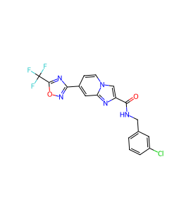 O=C(NCc1cccc(Cl)c1)c1cn2ccc(-c3noc(C(F)(F)F)n3)cc2n1